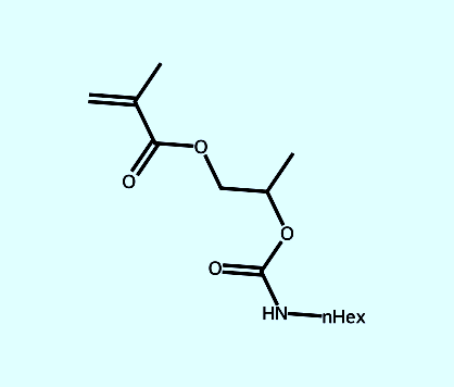 C=C(C)C(=O)OCC(C)OC(=O)NCCCCCC